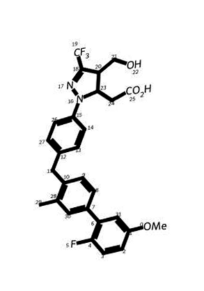 COc1ccc(F)c(-c2ccc(Cc3ccc(N4N=C(C(F)(F)F)C(CO)C4CC(=O)O)cc3)c(C)c2)c1